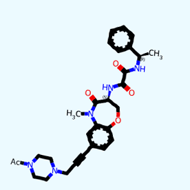 CC(=O)N1CCN(CC#Cc2ccc3c(c2)N(C)C(=O)[C@@H](NC(=O)C(=O)N[C@H](C)c2ccccc2)CO3)CC1